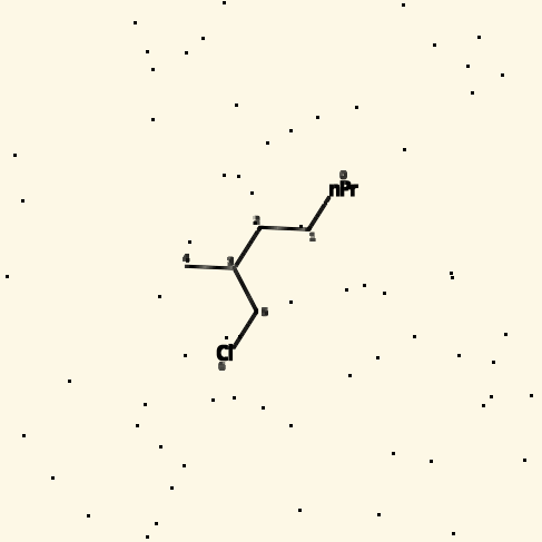 CCCCCC(C)CCl